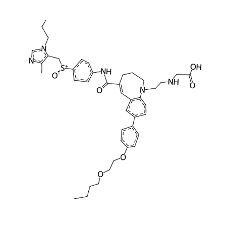 CCCCOCCOc1ccc(-c2ccc3c(c2)/C=C(/C(=O)Nc2ccc([S@@+]([O-])Cc4c(C)ncn4CCC)cc2)CCCN3CCNCC(=O)O)cc1